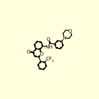 O=C(Nc1cccc2c(=O)cc(-c3ccccc3C(F)(F)F)oc12)c1cccc(N2CCOCC2)c1